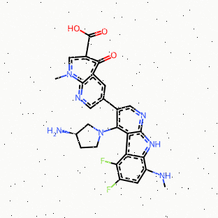 CNc1cc(F)c(F)c2c1[nH]c1ncc(-c3cnc4c(c3)c(=O)c(C(=O)O)cn4C)c(N3CC[C@@H](N)C3)c12